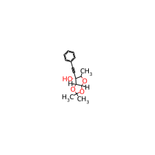 CC1O[C@@H]2OC(C)(C)O[C@@H]2[C@@]1(O)C#Cc1ccccc1